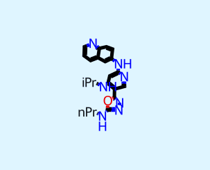 CCCNc1nnc(-c2cnc(Nc3ccc4ncccc4c3)cc2NC(C)C)o1